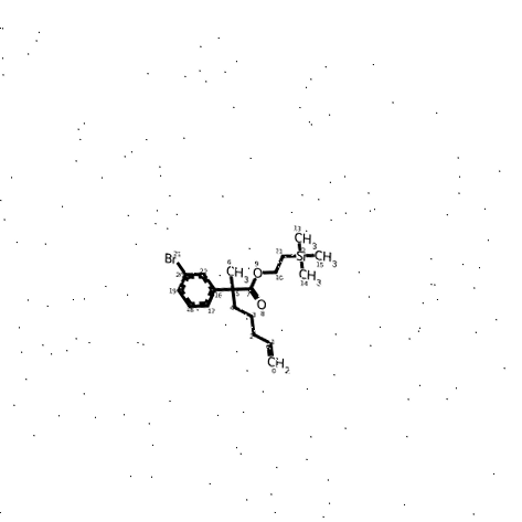 C=CCCCC(C)(C(=O)OCC[Si](C)(C)C)c1cccc(Br)c1